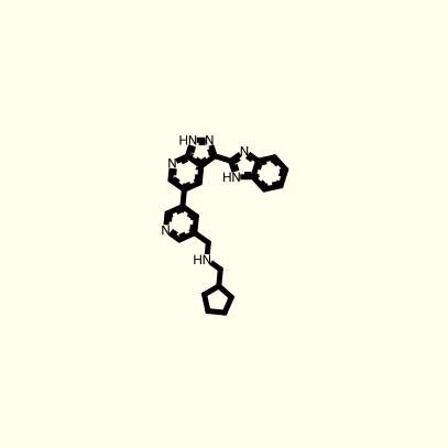 c1ccc2[nH]c(-c3n[nH]c4ncc(-c5cncc(CNCC6CCCC6)c5)cc34)nc2c1